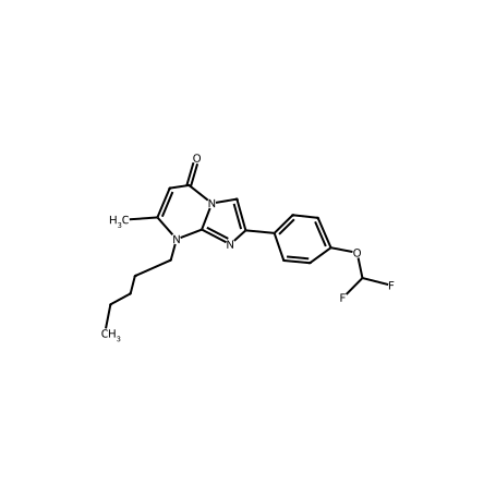 CCCCCn1c(C)cc(=O)n2cc(-c3ccc(OC(F)F)cc3)nc12